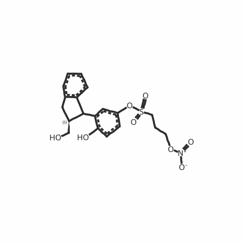 O=[N+]([O-])OCCCS(=O)(=O)Oc1ccc(O)c(C2c3ccccc3C[C@@H]2CO)c1